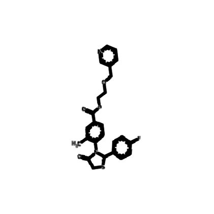 Cc1cc(C(=O)OCCOCc2cccnc2)ccc1N1C(=O)CSC1c1ccc(F)cc1